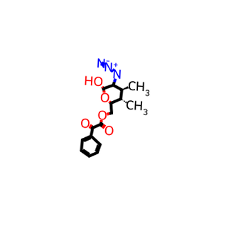 C[C@@H]1C(COC(=O)C(=O)c2ccccc2)OC(O)C(N=[N+]=[N-])[C@H]1C